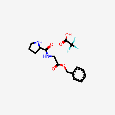 O=C(CNC(=O)C1CCCN1)OCc1ccccc1.O=C(O)C(F)(F)F